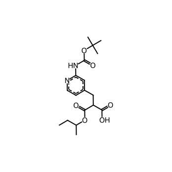 CCC(C)OC(=O)C(Cc1ccnc(NC(=O)OC(C)(C)C)c1)C(=O)O